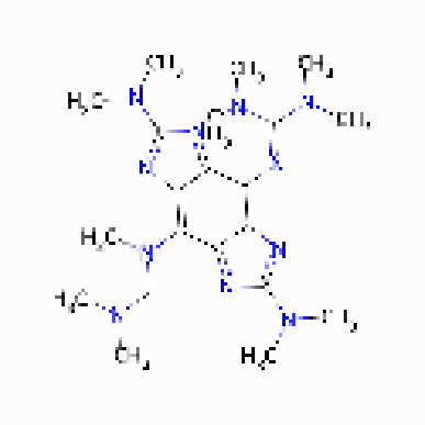 CN(C)CN(C)C1=C2N=C(N(C)C)N=C2C(N=C(N(C)C)N(C)C)C2N=C(N(C)C)N=C12